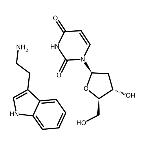 NCCc1c[nH]c2ccccc12.O=c1ccn([C@H]2C[C@H](O)[C@@H](CO)O2)c(=O)[nH]1